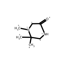 CN1CC(=O)NCC1(C)C